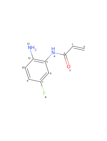 C=CC(=O)Nc1cc(F)ccc1N